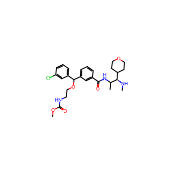 CN[C@H](C1CCOCC1)C(C)NC(=O)c1cccc(C(OCCNC(=O)OC)c2cccc(Cl)c2)c1